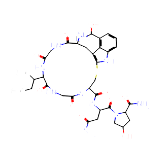 CCC(C)C1NC(=O)CNC(=O)C(N)Cc2c([nH]c3cccc(C(C)O)c23)SCC(C(=O)NC(CC(N)=O)C(=O)N2CC(O)CC2C(N)=O)NC(=O)CNC1=O